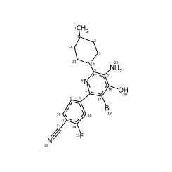 CC1CCN(c2nc(-c3ccc(C#N)c(F)c3)c(Br)c(O)c2N)CC1